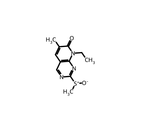 CCn1c(=O)c(C)cc2cnc([S+](C)[O-])nc21